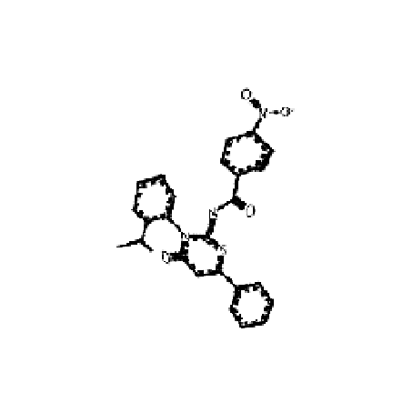 CC(C)c1ccccc1-n1c(=O)cc(-c2ccccc2)sc1=NC(=O)c1ccc([N+](=O)[O-])cc1